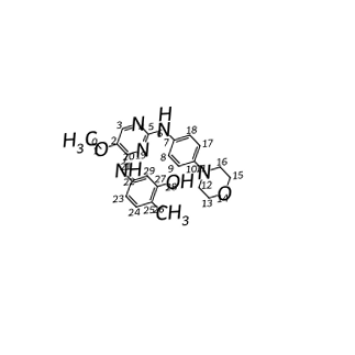 COc1cnc(Nc2ccc(N3CCOCC3)cc2)nc1Nc1ccc(C)c(O)c1